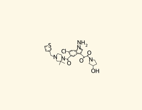 CC1(C)CN(Cc2ccsc2)CCN1C(=O)c1cc2c(C(=O)C(=O)N3CCC(O)C3)cn(N)c2cc1Cl